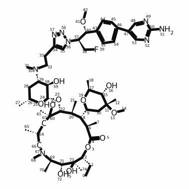 CC[C@H]1OC(=O)[C@H](C)[C@@H](C2C[C@@](C)(OC)[C@@H](O)[C@H](C)O2)[C@H](C)[C@@H](O[C@@H]2O[C@H](C)C[C@H](N(C)CCc3cn([C@H](CF)[C@H](OC)c4ccc(-c5cnc(N)nc5)cc4)nn3)[C@H]2O)[C@](C)(O)C[C@@H](C)CN(C)[C@H](C)[C@@H](O)[C@]1(C)O